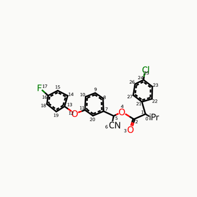 CC(C)C(C(=O)OC(C#N)c1cccc(Oc2ccc(F)cc2)c1)c1ccc(Cl)cc1